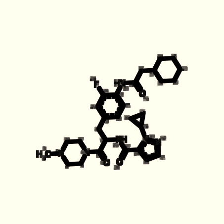 CN1CCN(C(=O)C(Cc2ccc(NC(=O)CC3CCCCC3)c(F)c2)NC(=O)c2ccnn2C2CC2)CC1